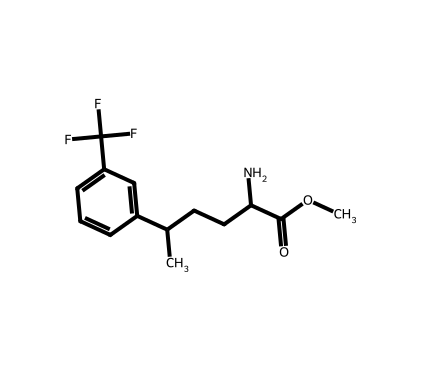 COC(=O)C(N)CCC(C)c1cccc(C(F)(F)F)c1